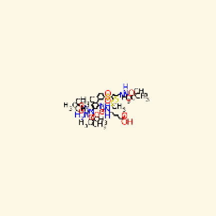 CSc1sc(C=NNC(=O)OC(C)(C)C)cc1S(=O)(=O)c1cccc(-c2c(C)cc(N(C(=O)OC(C)(C)C)C(N)=NC(=O)OC(C)(C)C)cc2NC(=O)NCCCCCC(=O)O)c1